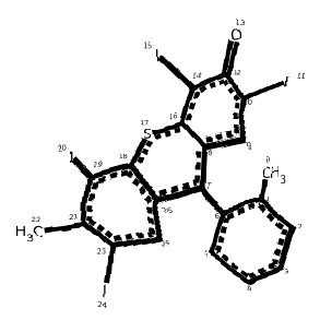 Cc1ccccc1-c1c2cc(I)c(=O)c(I)c-2sc2c(I)c(C)c(I)cc12